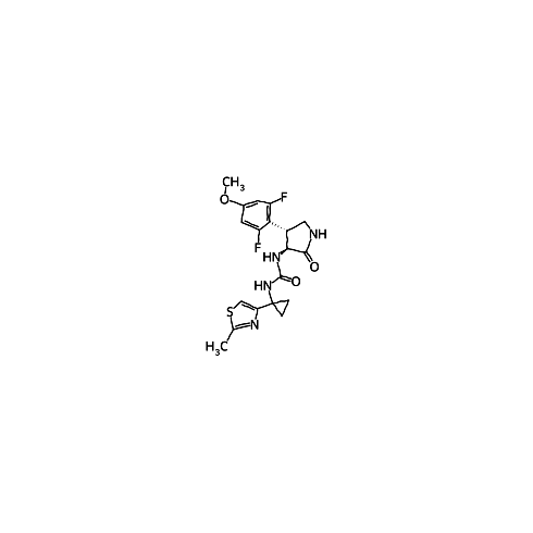 COc1cc(F)c([C@@H]2CNC(=O)[C@H]2NC(=O)NC2(c3csc(C)n3)CC2)c(F)c1